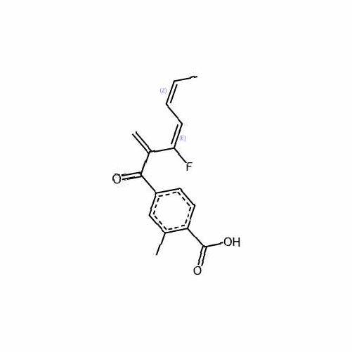 C=C(C(=O)c1ccc(C(=O)O)c(C)c1)/C(F)=C\C=C/C